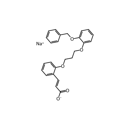 O=C([O-])/C=C/c1ccccc1OCCCOc1ccccc1OCc1ccccc1.[Na+]